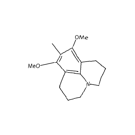 COc1c(C)c(OC)c2c3c1CCCN3CCC2